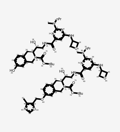 CCCN(C)c1nc(NC2COC2)cc(C(=O)NC[C@@H](O)[C@@H]2Cc3ccc(O)cc3CN2C(=O)OC(C)(C)C)n1.CCCN(C)c1nc(NC2COC2)cc(C(=O)NC[C@@H](O)[C@@H]2Cc3ccc(OCc4ocnc4C)cc3CN2C(=O)OC(C)(C)C)n1